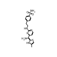 CC1=CS/C(=C(/N)c2ccnc(NCCc3ccc(S(N)(=O)=O)cc3)n2)N1